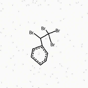 BrC(c1ccccc1)C(Br)(Br)Br